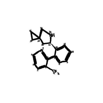 FC(F)(F)c1cccnc1-c1ccccc1[C@@H]1CC2(CC2)CN1